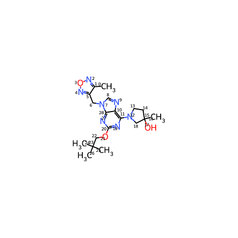 Cc1nonc1Cn1cnc2c(N3CCC(C)(O)C3)nc(OCC(C)(C)C)nc21